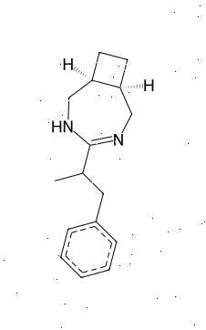 CC(Cc1ccccc1)C1=NC[C@@H]2CC[C@@H]2CN1